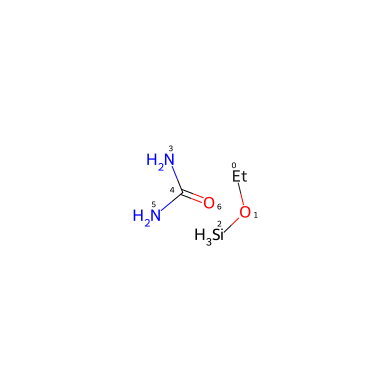 CCO[SiH3].NC(N)=O